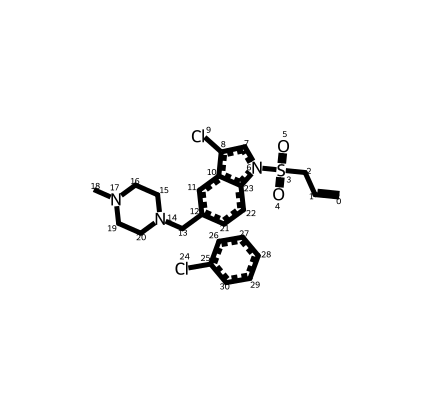 C=CCS(=O)(=O)n1cc(Cl)c2cc(CN3CCN(C)CC3)ccc21.Clc1ccccc1